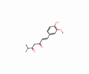 COc1cc(/C=C/C(=O)CC(=O)C(C)C)ccc1O